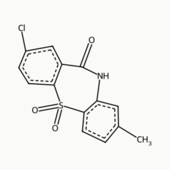 Cc1ccc2c(c1)NC(=O)c1cc(Cl)ccc1S2(=O)=O